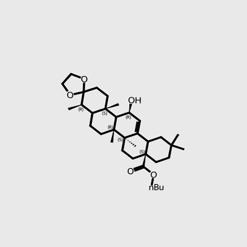 CCCCOC(=O)[C@]12CCC(C)(C)CC1C1=C[C@H](O)C3[C@@]4(C)CCC5(OCCO5)[C@H](C)C4CC[C@@]3(C)[C@]1(C)CC2